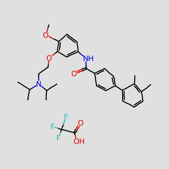 COc1ccc(NC(=O)c2ccc(-c3cccc(C)c3C)cc2)cc1OCCN(C(C)C)C(C)C.O=C(O)C(F)(F)F